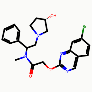 CN(C(=O)COc1ncc2ccc(Br)cc2n1)C(CN1CC[C@H](O)C1)c1ccccc1